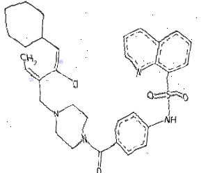 C/C=C(CN1CCN(C(=O)c2ccc(NS(=O)(=O)c3cccc4cccnc34)cc2)CC1)\C(Cl)=C/C1CCCCC1